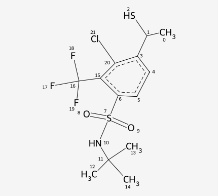 CC(S)c1ccc(S(=O)(=O)NC(C)(C)C)c(C(F)(F)F)c1Cl